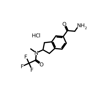 CN(C(=O)C(F)(F)F)C1Cc2ccc(C(=O)CN)cc2C1.Cl